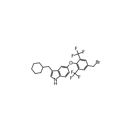 FC(F)(F)c1cc(CBr)cc(C(F)(F)F)c1Oc1ccc2[nH]cc(CC3CCCCC3)c2c1